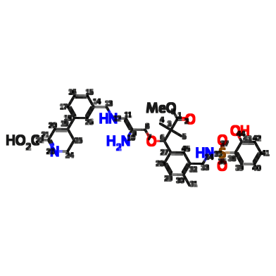 COC(=O)C(C)(C)C(OC/C(N)=C/NCc1cccc(C2=CC(C(=O)O)=NCC2)c1)c1ccc(C)c(CNS(=O)(=O)c2ccccc2O)c1